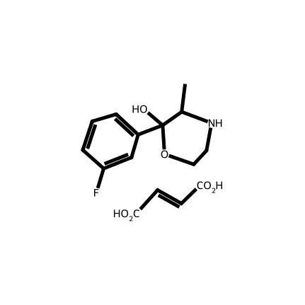 CC1NCCOC1(O)c1cccc(F)c1.O=C(O)C=CC(=O)O